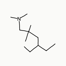 CCC(CC)CC(C)(C)CN(C)C